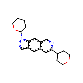 c1nc(C2CCOCC2)cc2cc3cnn(C4CCCCO4)c3cc12